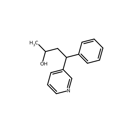 CC(O)CC(c1ccccc1)c1cccnc1